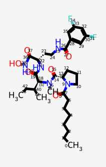 CCCCCCCC(=O)N1CCC[C@H]1C(=O)N(C)[C@H](C(=O)N[C@@H](CCNC(=O)c1cc(F)cc(F)c1)C(=O)NO)C(C)CC